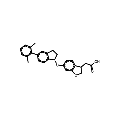 Cc1cccc(C)c1-c1ccc2c(c1)CC[C@H]2Oc1ccc2c(c1)OCC2CC(=O)O